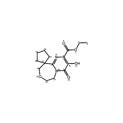 CCOC(=O)c1nc2n(c(=O)c1O)CCOCC21CCCC1